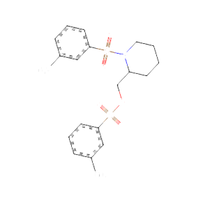 Cc1cccc(S(=O)(=O)OCC2CCCCN2S(=O)(=O)c2cccc(C)c2)c1